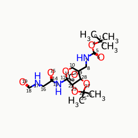 CC(C)(C)OC(=O)NCC12COC(NC(=O)CNC=O)(CO1)C1OC(C)(C)OC12